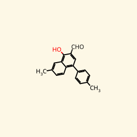 Cc1ccc(-c2cc(C=O)c(O)c3cc(C)ccc23)cc1